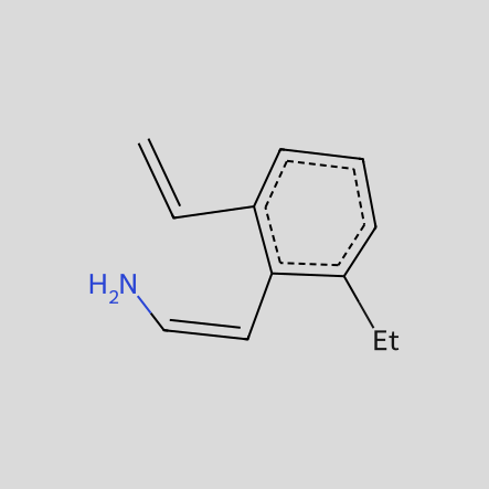 C=Cc1cccc(CC)c1/C=C\N